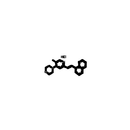 Cc1cnc(C=Cc2cccc3ccccc23)cc1N1CCOCC1.Cl